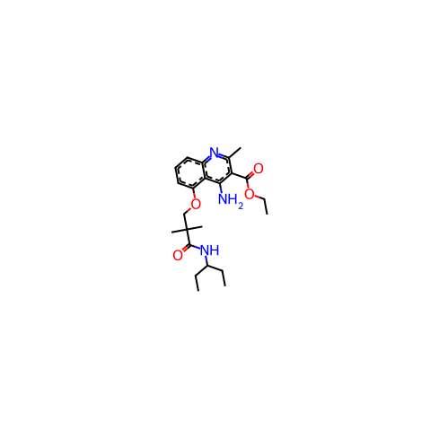 CCOC(=O)c1c(C)nc2cccc(OCC(C)(C)C(=O)NC(CC)CC)c2c1N